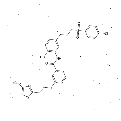 CC(C)(C)c1csc(CCOc2cccc(C(=O)Nc3cc(CCCS(=O)(=O)c4ccc(Cl)cc4)ccc3O)c2)n1